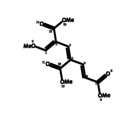 COC=C(C=C(C=CC(=O)OC)C(=O)OC)C(=O)OC